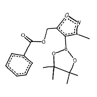 Cc1noc(COC(=O)c2ccccc2)c1B1OC(C)(C)C(C)(C)O1